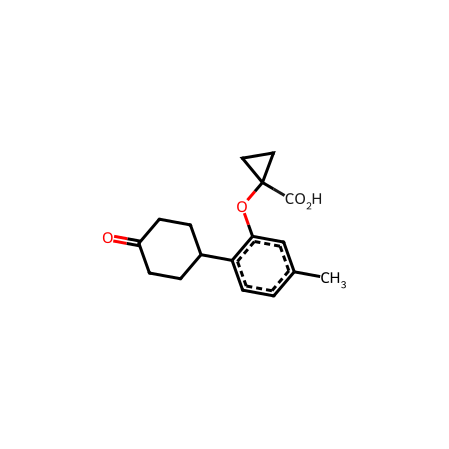 Cc1ccc(C2CCC(=O)CC2)c(OC2(C(=O)O)CC2)c1